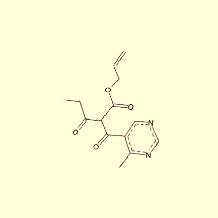 C=CCOC(=O)C(C(=O)CC)C(=O)c1cncnc1C